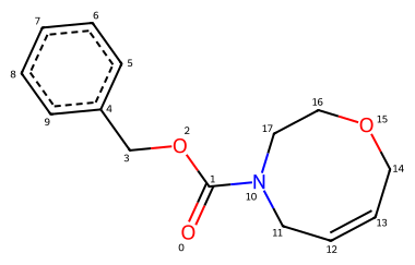 O=C(OCc1ccccc1)N1C/C=C\COCC1